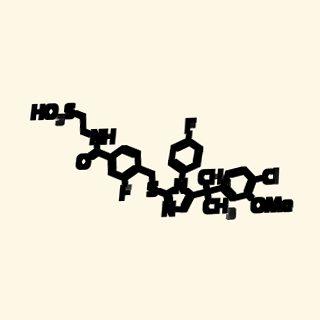 COc1cc(C(C)(C)c2cnc(SCc3ccc(C(=O)NCCS(=O)(=O)O)cc3F)n2-c2ccc(F)cc2)ccc1Cl